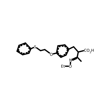 CCON=C(C)C(Cc1ccc(OCCSc2ccccc2)cc1)C(=O)O